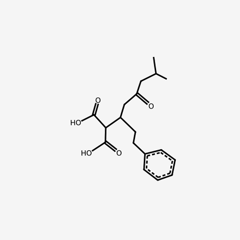 CC(C)CC(=O)CC(CCc1ccccc1)C(C(=O)O)C(=O)O